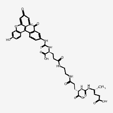 C[C@H](CCC(=O)O)NC(=O)N[C@@H](CCC(=O)NCCNC(=O)CC[C@H](NC(=S)Nc1ccc(-c2c3ccc(=O)cc-3oc3cc(O)ccc23)c(C(=O)O)c1)C(=O)O)C(=O)O